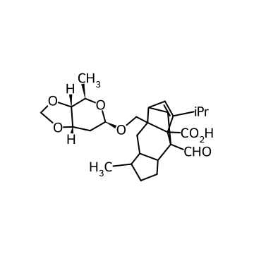 CC(C)C1=CC2CC3(C=O)C4CCC(C)C4CC2(CO[C@H]2C[C@@H]4OCO[C@@H]4[C@@H](C)O2)C13C(=O)O